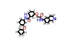 O=C(COc1cccc(C(=O)Nc2cccc(Oc3ccccc3)c2)c1)Nc1ccc2cnccc2c1